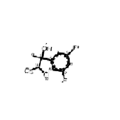 CC(O)(c1cc(F)cc(F)c1)C(Cl)Cl